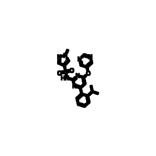 CC(C)c1ccccc1-c1cc(Oc2cncnc2)nc(NS(=O)(=O)c2cnn(C)c2)n1